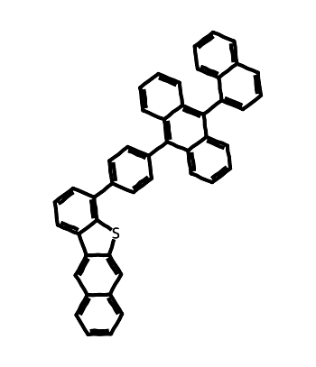 c1ccc2cc3c(cc2c1)sc1c(-c2ccc(-c4c5ccccc5c(-c5cccc6ccccc56)c5ccccc45)cc2)cccc13